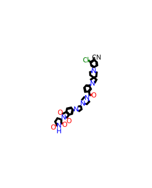 N#Cc1ccc(N2CCC3(CC2)CCN(c2cccc(C(=O)N4CCN(C5CCN(c6ccc7c(c6)C(=O)N(C6CCC(=O)NC6=O)C7=O)C5)CC4)c2)C3)cc1Cl